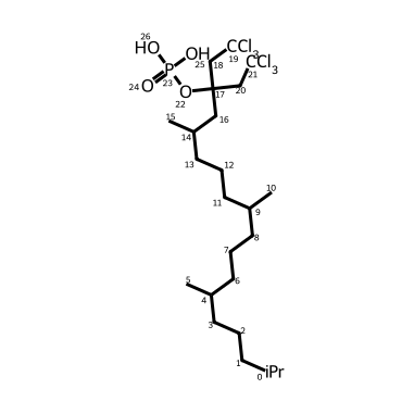 CC(C)CCCC(C)CCCC(C)CCCC(C)CC(CC(Cl)(Cl)Cl)(CC(Cl)(Cl)Cl)OP(=O)(O)O